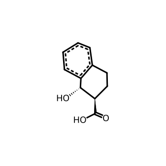 O=C(O)[C@@H]1CCc2ccccc2[C@H]1O